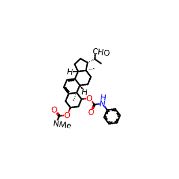 CNC(=O)OC1CC2=CC=C3[C@@H]4CC[C@H](C(C)C=O)[C@@]4(C)CC[C@@H]3[C@@]2(C)C(OC(=O)Nc2ccccc2)C1